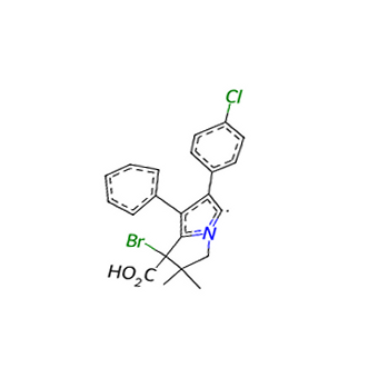 CC1(C)Cn2[c]c(-c3ccc(Cl)cc3)c(-c3ccccc3)c2C1(Br)C(=O)O